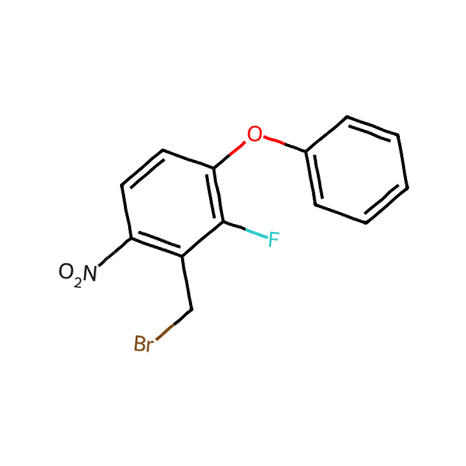 O=[N+]([O-])c1ccc(Oc2ccccc2)c(F)c1CBr